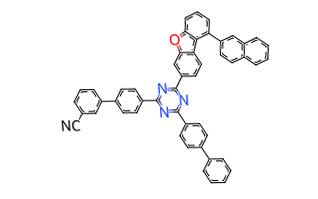 N#Cc1cccc(-c2ccc(-c3nc(-c4ccc(-c5ccccc5)cc4)nc(-c4ccc5c(c4)oc4cccc(-c6ccc7ccccc7c6)c45)n3)cc2)c1